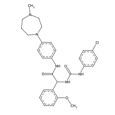 COc1ccccc1C(NC(=O)Nc1ccc(Cl)cc1)C(=O)Nc1ccc(N2CCCN(C)CC2)cc1